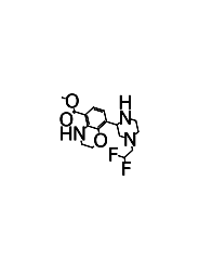 COC(=O)c1ccc(C2CN(CC(F)F)CCN2)c2c1NCCO2